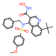 COc1ccc(S(=O)(=O)N(Cc2ccccc2)c2c(C(=O)NO)cnc3c(C(C)(C)C)cccc23)cc1